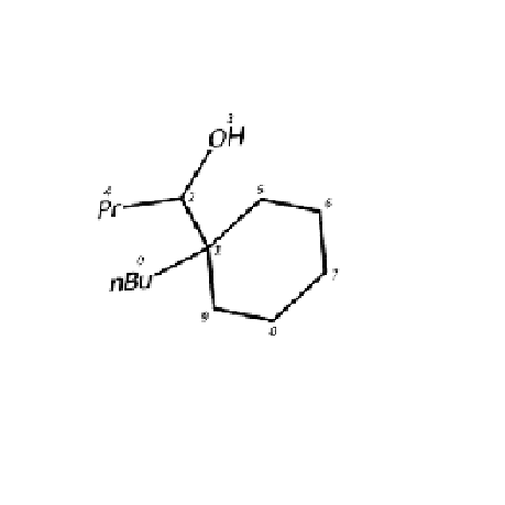 CCCCC1([CH](O)[Pr])CCCCC1